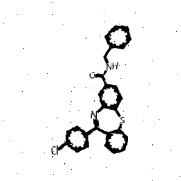 O=C(NCc1ccccc1)c1ccc2c(c1)N=C(c1ccc(Cl)cc1)c1ccccc1S2